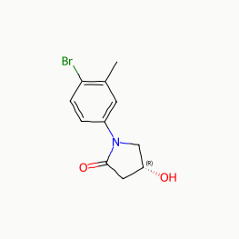 Cc1cc(N2C[C@H](O)CC2=O)ccc1Br